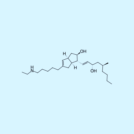 CCCC[C@H](C)C[C@H](O)/C=C/[C@@H]1[C@H]2CC(CCCCCNCC)=C[C@H]2C[C@H]1O